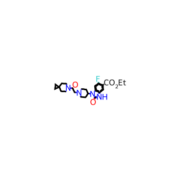 CCOC(=O)c1cc2[nH]c(=O)n(C3CCN(CC(=O)N4CCC5(CC4)CC5)CC3)c2cc1F